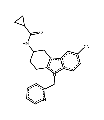 N#Cc1ccc2c(c1)c1c(n2Cc2ccccn2)CCC(NC(=O)C2CC2)C1